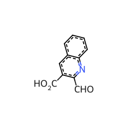 O=Cc1nc2ccccc2cc1C(=O)O